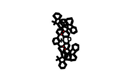 CC1(C)c2ccccc2-c2cc3c(cc21)-c1cc2c(cc1C31c3ccccc3-c3ccccc31)Oc1cc3c(cc1N2c1c(-c2ccc(-c4ccccc4)cc2)cccc1-c1ccc(-c2ccccc2)cc1)-c1cc2c(cc1C31c3ccccc3-c3ccccc31)-c1ccccc1C2(C)C